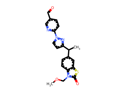 COCn1c(=O)sc2cc(C(C)c3ccn(-c4ccc(C=O)cn4)n3)ccc21